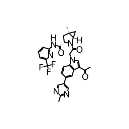 CC(=O)c1cn(CC(=O)N2[C@H](C(=O)Nc3cccc(C(F)(F)F)n3)C[C@@]3(C)C[C@@H]23)c2ccc(-c3cnc(C)nc3)cc12